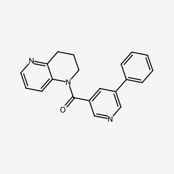 O=C(c1cncc(-c2ccccc2)c1)N1CCCc2ncccc21